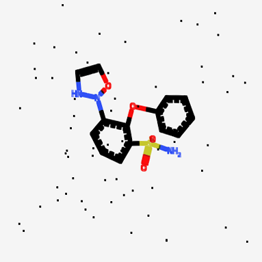 NS(=O)(=O)c1cccc(N2NC=CO2)c1Oc1ccccc1